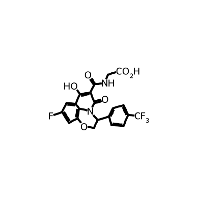 O=C(O)CNC(=O)c1c(O)c2cc(F)cc3c2n(c1=O)C(c1ccc(C(F)(F)F)cc1)CO3